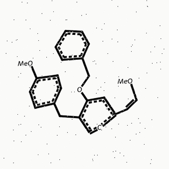 CO/C=C\c1ccc(Cc2ccc(OC)cc2)c(OCc2ccccc2)c1